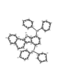 c1ccc(N(c2ccccc2)c2ccc(N(c3ccccc3)c3ccccc3)c3c2oc2c4ccccc4ccc23)cc1